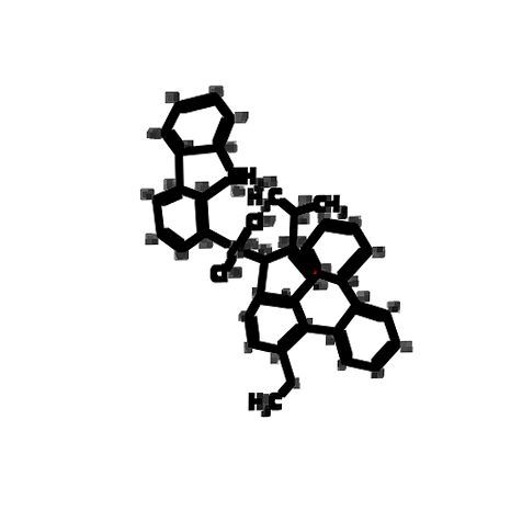 CCc1ccc2c(c1-c1ccccc1-c1ccccc1)C=C(C(C)C)[CH]2[Zr]([Cl])([Cl])[c]1cccc2c1[SiH2]c1ccccc1-2